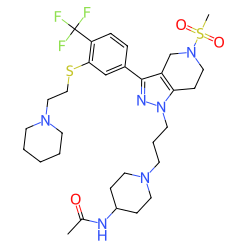 CC(=O)NC1CCN(CCCn2nc(-c3ccc(C(F)(F)F)c(SCCN4CCCCC4)c3)c3c2CCN(S(C)(=O)=O)C3)CC1